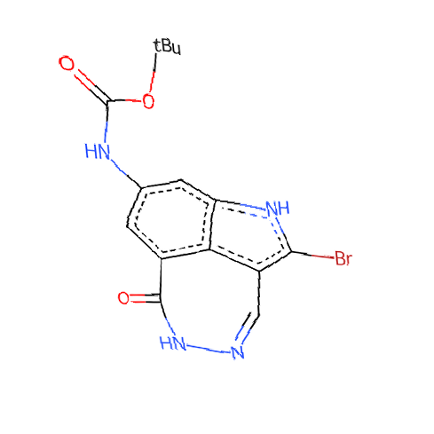 CC(C)(C)OC(=O)Nc1cc2c3c(c(Br)[nH]c3c1)C=NNC2=O